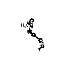 C[C@H](OC1CCCCO1)c1nccn1Cc1cc(-c2ccc(C#Cc3ccc(CN4CCC(C#N)C4)nc3)cc2)on1